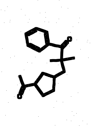 CC(=O)C1CCC(CC(C)(C)C(=O)c2ccccc2)C1